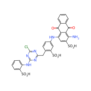 Nc1c(S(=O)(=O)O)cc(Nc2ccc(Cc3nc(Cl)nc(Nc4ccccc4S(=O)(=O)O)n3)c(S(=O)(=O)O)c2)c2c1C(=O)c1ccccc1C2=O